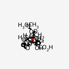 CC1C2CC(C(=O)O)C(C2)C1CC(CC(C)(CC(CC(C)(C)C(=O)OCCN(C)C)C(=O)NCCO)C(=O)OC1C2CC3C(=O)OC1C3C2)C(N)=O